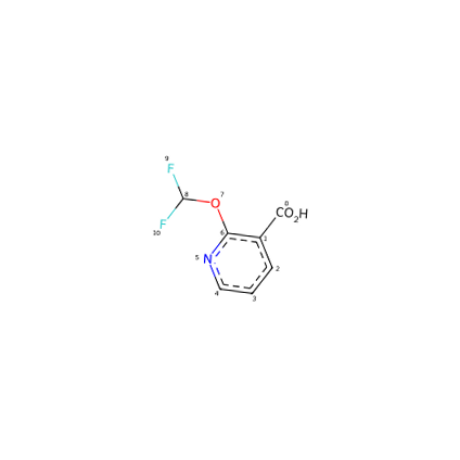 O=C(O)c1cccnc1OC(F)F